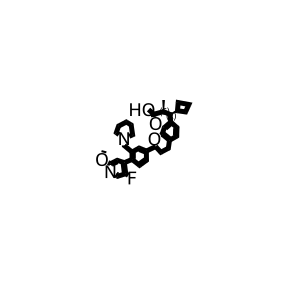 COc1cc(-c2ccc(C3CCc4ccc([C@H](C5CCC5)[C@H](C)C(=O)O)cc4O3)cc2CN2CCCCC2)c(F)cn1